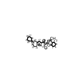 CN(C)c1ccccc1OCN(C=O)C(=O)c1cc2n(n1)CCCN(c1ccccc1)C2